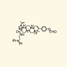 C=C(C)[C@@H]1CC[C@]2(C(=O)NCCN(C(C)C)C(C)C)CC[C@]3(C)[C@H](CC[C@@H]4[C@@]5(C)CC=C(c6ccc(OC=O)cc6)C(C)(C)[C@@H]5CC[C@]43C)[C@@H]12